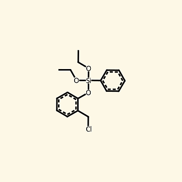 CCO[Si](OCC)(Oc1ccccc1CCl)c1ccccc1